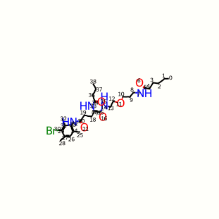 CCCCCC(=O)NCCCOCCNC(=O)[C@@H](CCC(=O)Nc1c(C)cc(C)c(Br)c1C)NC(=O)CCC